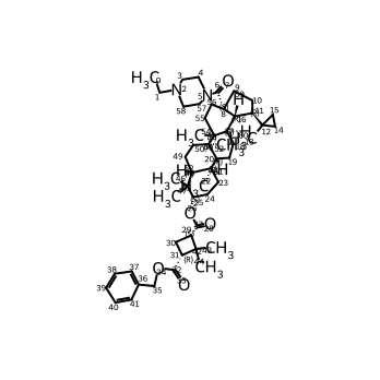 CCN1CCN(C(=O)[C@]23CC[C@@H](C4(C)CC4)[C@@H]2[C@H]2CC[C@@H]4[C@@]5(C)CC[C@H](OC(=O)[C@H]6C[C@@H](C(=O)OCc7ccccc7)C6(C)C)C(C)(C)[C@@H]5CC[C@@]4(C)[C@]2(C)CC3)CC1